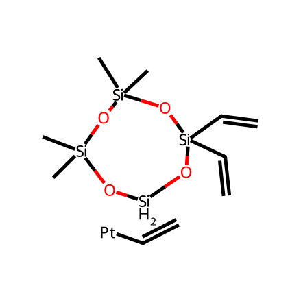 C=C[Si]1(C=C)O[SiH2]O[Si](C)(C)O[Si](C)(C)O1.C=[CH][Pt]